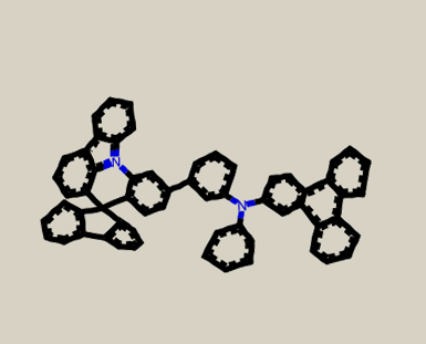 c1ccc(N(c2cccc(-c3ccc4c(c3)-n3c5ccccc5c5cccc(c53)C43c4ccccc4-c4ccccc43)c2)c2ccc3c4ccccc4c4ccccc4c3c2)cc1